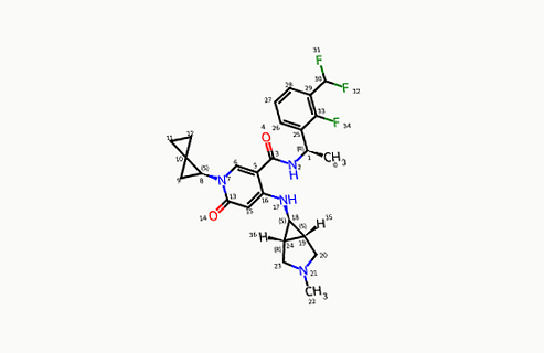 C[C@@H](NC(=O)c1cn([C@H]2CC23CC3)c(=O)cc1N[C@H]1[C@@H]2CN(C)C[C@@H]21)c1cccc(C(F)F)c1F